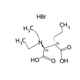 Br.CCC[C@H](C(=O)O)[C@@H](C(=O)O)N(CC)CC